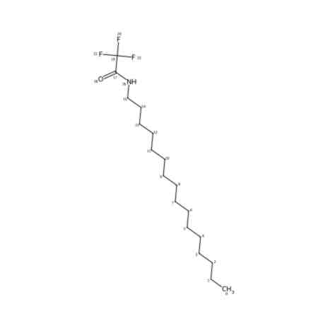 CCCCCCCCCCCCCCCCNC(=O)C(F)(F)F